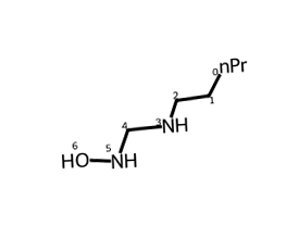 CCCCCNCNO